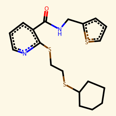 O=C(NCc1cccs1)c1cccnc1SCCSC1CCCCC1